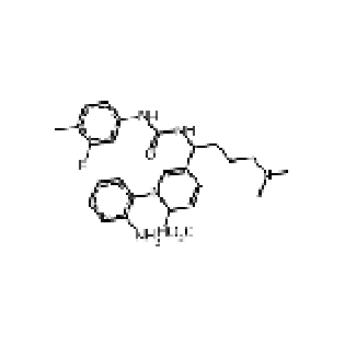 Cc1ccc(NC(=O)NC(CCCN(C)C)C2=CN(c3ccccc3N)C(C(=O)O)C=C2)cc1F